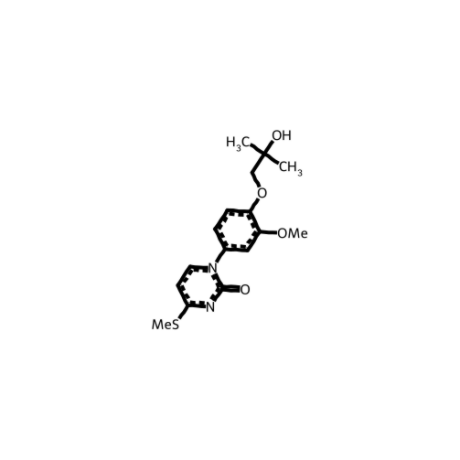 COc1cc(-n2ccc(SC)nc2=O)ccc1OCC(C)(C)O